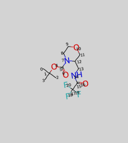 CC(C)(C)OC(=O)N1CCOCC1CNC(=O)C(F)(F)F